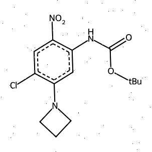 CC(C)(C)OC(=O)Nc1cc(N2CCC2)c(Cl)cc1[N+](=O)[O-]